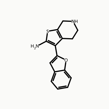 Nc1sc2c(c1-c1cc3ccccc3o1)CCNC2